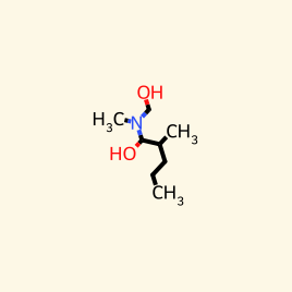 CCCC(C)C(O)N(C)CO